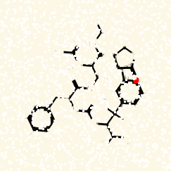 CCNC(=O)C(OC(C)=O)[C@H](C[C@@H]1CCNC1=O)NC(=O)[C@H](Cc1ccccc1)NC(=O)OC(C(C)C)C(F)(F)c1cccc(Cl)c1